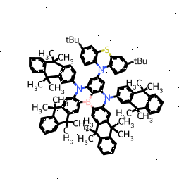 CC(C)(C)c1ccc2c(c1)Sc1cc(C(C)(C)C)ccc1N2c1cc2c3c(c1)N(c1ccc4c(c1)C(C)(C)c1ccccc1C4(C)C)c1cc4c(cc1B3c1cc3c(cc1N2c1ccc2c(c1)C(C)(C)c1ccccc1C2(C)C)C(C)(C)c1ccccc1C3(C)C)C(C)(C)c1ccccc1C4(C)C